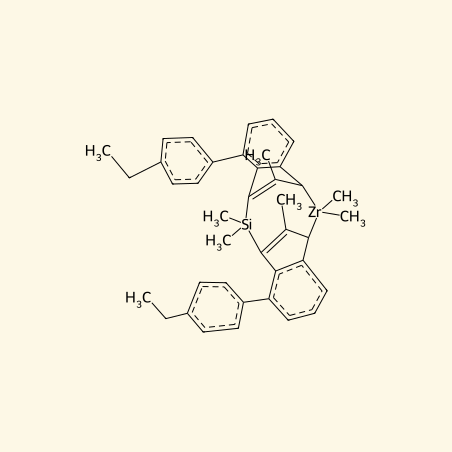 CCc1ccc(-c2cccc3c2C2=C(C)[CH]3[Zr]([CH3])([CH3])[CH]3C(C)=C(c4c(-c5ccc(CC)cc5)cccc43)[Si]2(C)C)cc1